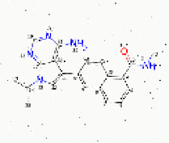 CNC(=O)c1cccc2cc(-c3cn(C(C)C)c4ncnc(N)c34)ccc12